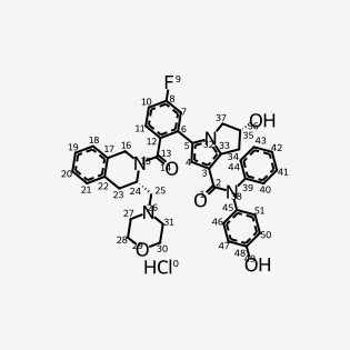 Cl.O=C(c1cc(-c2cc(F)ccc2C(=O)N2Cc3ccccc3C[C@H]2CN2CCOCC2)n2c1C[C@@H](O)C2)N(c1ccccc1)c1ccc(O)cc1